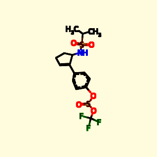 CC(C)S(=O)(=O)NC1CCC=C1c1ccc(OS(=O)OC(F)(F)F)cc1